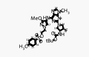 COc1nn(CCOS(=O)(=O)c2ccc(C)cc2)cc1Nc1nc(N2C[C@@H](F)[C@H](NC(=O)OC(C)(C)C)C2)nc2c1ncn2C